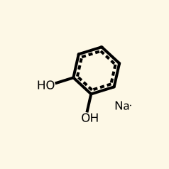 Oc1ccccc1O.[Na]